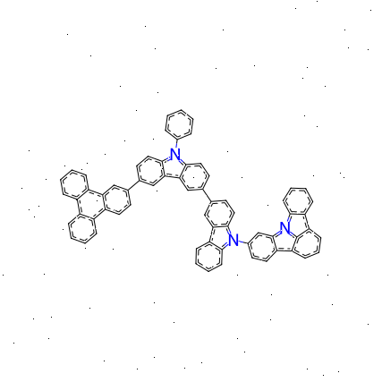 c1ccc(-n2c3ccc(-c4ccc5c6ccccc6c6ccccc6c5c4)cc3c3cc(-c4ccc5c(c4)c4ccccc4n5-c4ccc5c6cccc7c8ccccc8n(c5c4)c76)ccc32)cc1